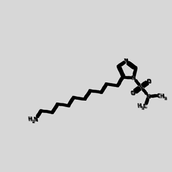 CN(C)S(=O)(=O)n1cncc1CCCCCCCCCCN